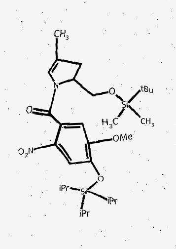 COc1cc(C(=O)N2C=C(C)CC2CO[Si](C)(C)C(C)(C)C)c([N+](=O)[O-])cc1O[Si](C(C)C)(C(C)C)C(C)C